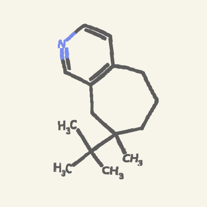 CC(C)(C)C1(C)CCCc2ccncc2C1